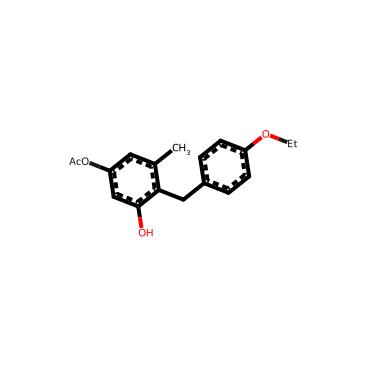 CCOc1ccc(Cc2c(C)cc(OC(C)=O)cc2O)cc1